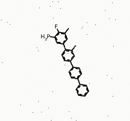 Cc1cc(-c2ccc(-c3ccccc3)cc2)ccc1-c1cc(C)c(F)c(P)c1